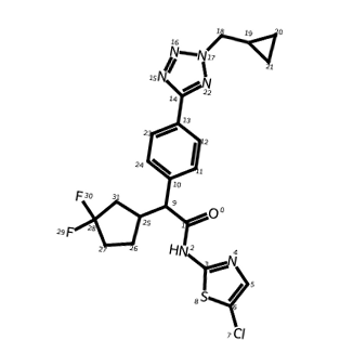 O=C(Nc1ncc(Cl)s1)C(c1ccc(-c2nnn(CC3CC3)n2)cc1)C1CCC(F)(F)C1